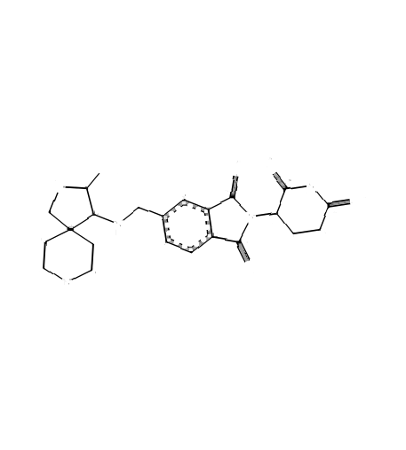 CC1OCC2(CCNCC2)C1NCc1ccc2c(c1)C(=O)N(C1CCC(=O)NC1=O)C2=O